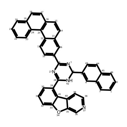 c1ccc2cc(C3N=C(c4ccc5c(ccc6ccc7ccccc7c65)c4)N=C(c4cccc5oc6cnccc6c45)N3)ccc2c1